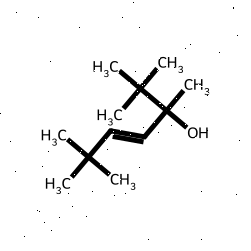 CC(C)(C)/C=C/C(C)(O)C(C)(C)C